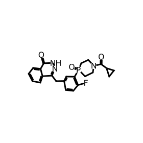 O=C(C1CC1)N1CCP(=O)(c2cc(Cc3n[nH]c(=O)c4ccccc34)ccc2F)CC1